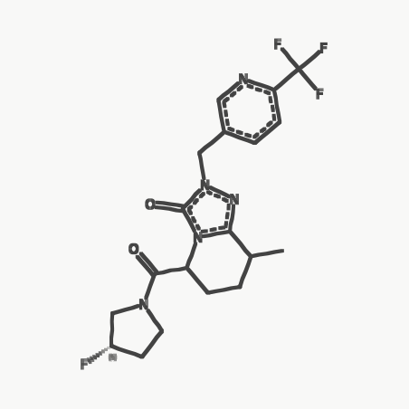 CC1CCC(C(=O)N2CC[C@H](F)C2)n2c1nn(Cc1ccc(C(F)(F)F)nc1)c2=O